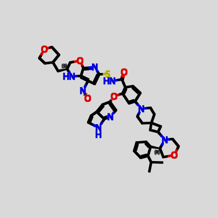 CC(C)c1ccccc1[C@@H]1COCCN1C1CC2(CCN(c3ccc(C(=O)NSc4cc(N=O)c5c(n4)OC[C@H](CC4CCOCC4)N5)c(Oc4cnc5[nH]ccc5c4)c3)CC2)C1